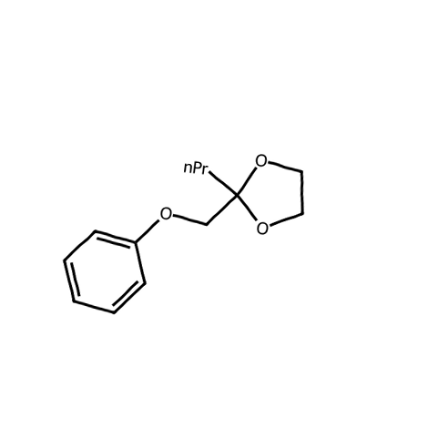 CCCC1(COc2ccccc2)OCCO1